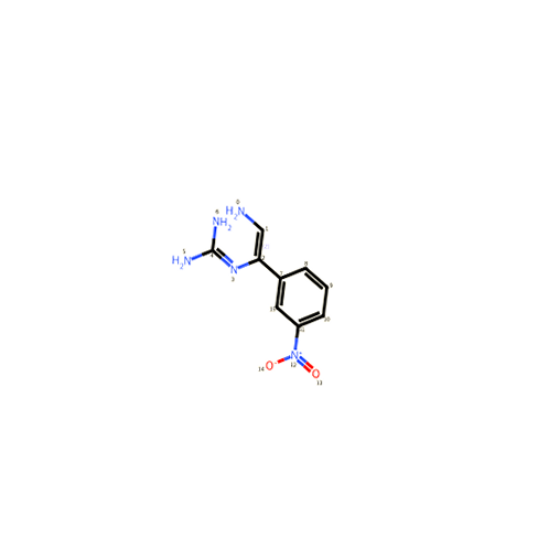 N/C=C(\N=C(N)N)c1cccc([N+](=O)[O-])c1